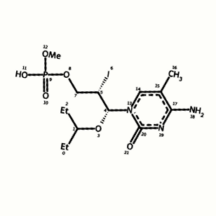 CCC(CC)O[C@H]([C@@H](I)COP(=O)(O)OC)n1cc(C)c(N)nc1=O